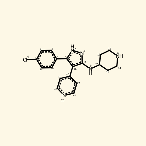 Clc1ccc(-c2[nH]nc(NC3CCNCC3)c2-c2ccncc2)cc1